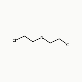 ClCC[N]CCCl